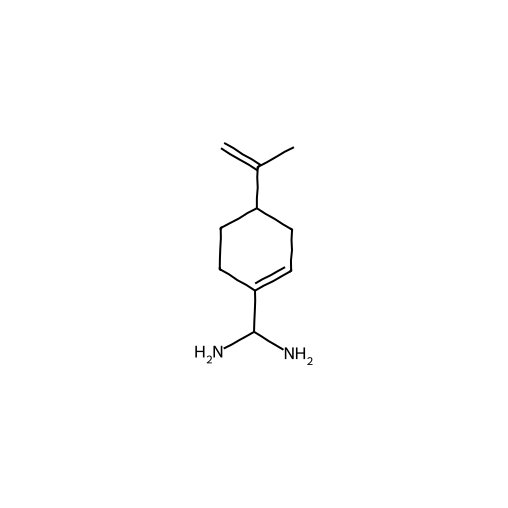 C=C(C)C1CC=C(C(N)N)CC1